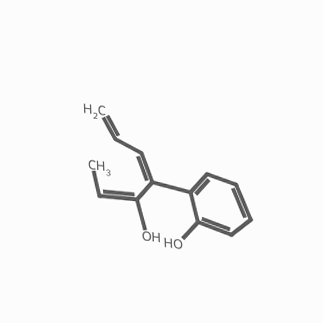 C=C/C=C(\C(O)=C/C)c1ccccc1O